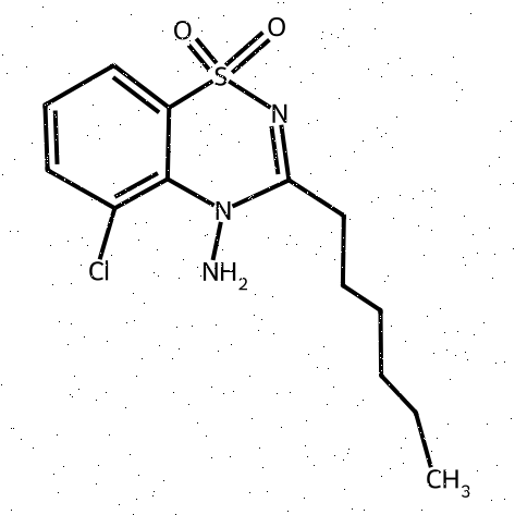 CCCCCCC1=NS(=O)(=O)c2cccc(Cl)c2N1N